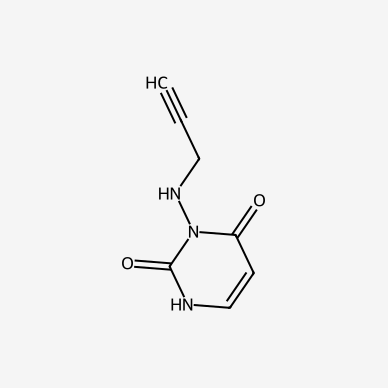 C#CCNn1c(=O)cc[nH]c1=O